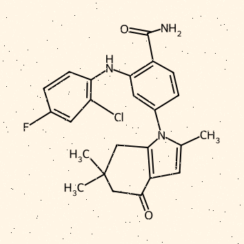 Cc1cc2c(n1-c1ccc(C(N)=O)c(Nc3ccc(F)cc3Cl)c1)CC(C)(C)CC2=O